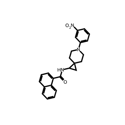 O=C(NC1CC12CCN(c1cccc([N+](=O)[O-])c1)CC2)c1cccc2ccccc12